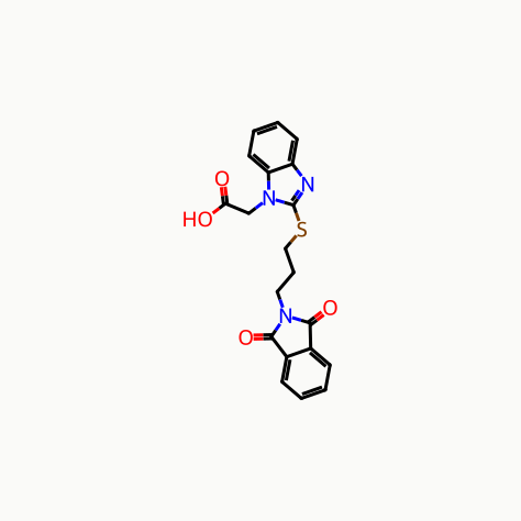 O=C(O)Cn1c(SCCCN2C(=O)c3ccccc3C2=O)nc2ccccc21